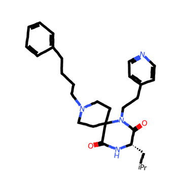 CC(C)C[C@@H]1NC(=O)C2(CCN(CCCCc3ccccc3)CC2)N(CCc2ccncc2)C1=O